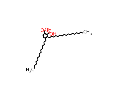 CCCCCCCCCCCCCCCCCCc1c(CCCCCCCCCCCCCCCC)ccc(C(=O)O)c1C(=O)O